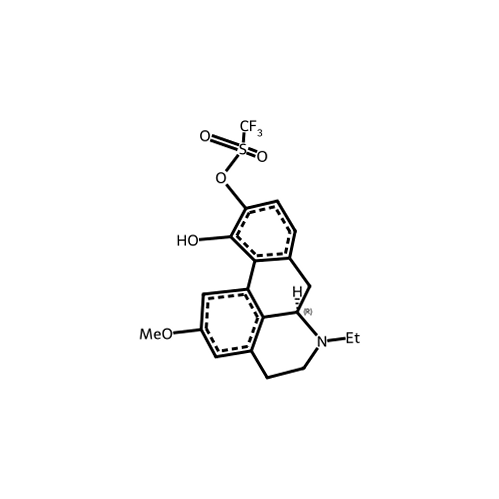 CCN1CCc2cc(OC)cc3c2[C@H]1Cc1ccc(OS(=O)(=O)C(F)(F)F)c(O)c1-3